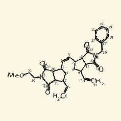 C=CC1CC(/C=C\C2CC(C=C)C3C(=O)N(Cc4ccccc4)C(=O)C23)C2C(=O)N(CCOC)C(=O)C12